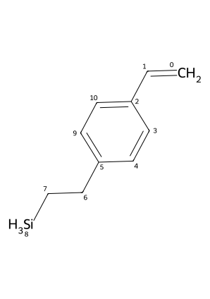 C=Cc1ccc(CC[SiH3])cc1